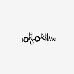 CNCC(N)c1ccc(C(=O)Nc2ccncc2)cc1